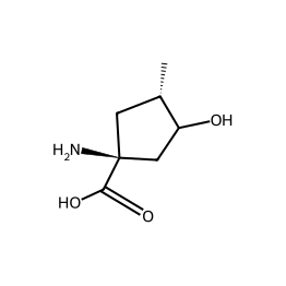 C[C@H]1C[C@@](N)(C(=O)O)CC1O